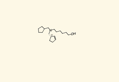 OCCCCCCN(CC1CCCC1)C[C@@H]1C=CCC1